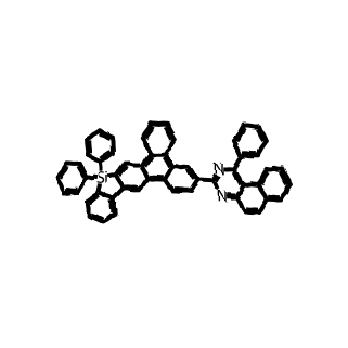 c1ccc(-c2nc(-c3ccc4c(c3)c3ccccc3c3cc5c(cc43)-c3ccccc3[Si]5(c3ccccc3)c3ccccc3)nc3ccc4ccccc4c23)cc1